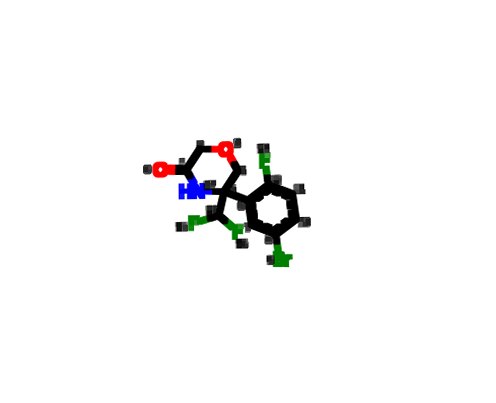 O=C1COCC(c2cc(Br)ccc2F)(C(F)F)N1